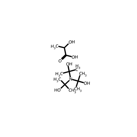 CC(C)(O)N(C(C)(C)O)C(C)(C)O.CC(O)C(=O)O